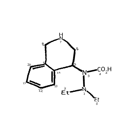 CCN(CC)N(C(=O)O)C1CN[CH]c2ccccc21